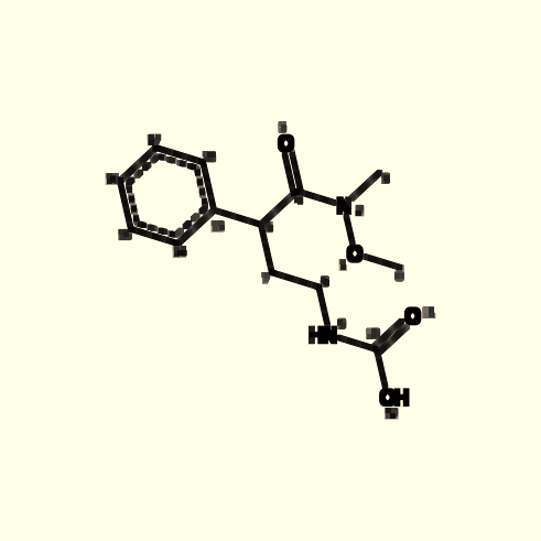 CON(C)C(=O)C(CCNC(=O)O)c1ccccc1